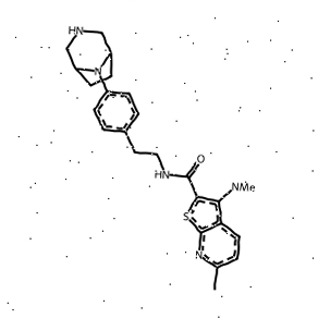 CNc1c(C(=O)NCCc2ccc(N3C4CCC3CNC4)cc2)sc2nc(C)ccc12